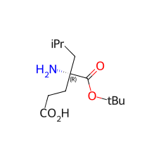 CC(C)C[C@](N)(CCC(=O)O)C(=O)OC(C)(C)C